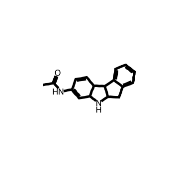 CC(=O)NC1=CC2NC3Cc4ccccc4C3C2C=C1